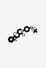 CC(C)(C)[Si](C)(C)OC1CCC(N2CCCC(Cc3sc4ccccc4c3Cl)C2=O)CC1